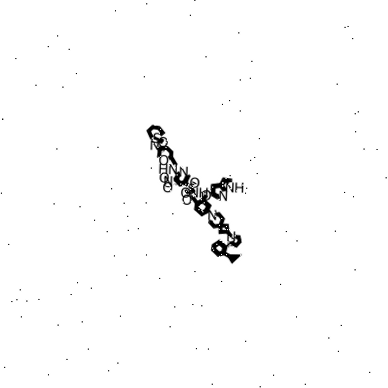 O=C(NS(=O)(=O)c1cnc(NCC2CC[C@@H](N=S3(=O)CCCCC3)CO2)c([N+](=O)[O-])c1)c1ccc(N2CCC3(CC2)CC(N2CCC[C@H]2c2ccccc2C2CC2)C3)cc1Oc1cnc2[nH]ccc2c1